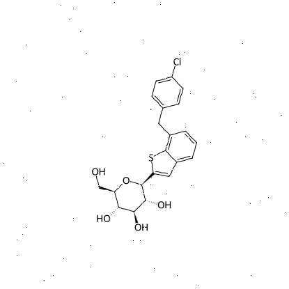 OC[C@H]1O[C@@H](c2cc3cccc(Cc4ccc(Cl)cc4)c3s2)[C@H](O)[C@@H](O)[C@@H]1O